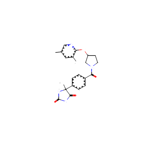 Cc1cnc(OC2CCN(C(=O)c3ccc(C4(C(C)C)NC(=O)NC4=O)cc3)C2)c(C)c1